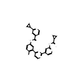 Cc1ccc(NC(=O)c2ccnc(C3CC3)c2)cc1-c1ccnc(-c2ccnc(NC(=O)C3CC3)c2)n1